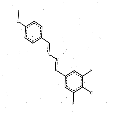 COc1ccc(C=NN=Cc2cc(F)c(Cl)c(F)c2)cc1